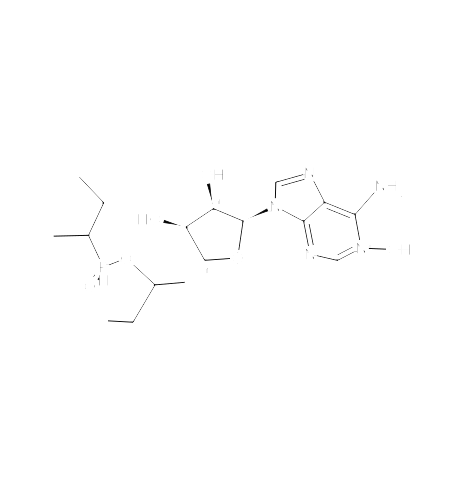 CCC(C[C@H]1O[C@H](n2cnc3c(N)[n+](O)cnc32)[C@H](O)[C@@H]1O)O[PH](=O)C(C)CC